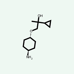 CC(O)(CO[C@H]1CC[C@H](N)CC1)C1CC1